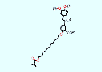 C=C(C)C(=O)OCCCCCCCCCCCOc1ccc(/C(C#N)=C/c2ccc(OCC)c(OCC)c2)cc1OC